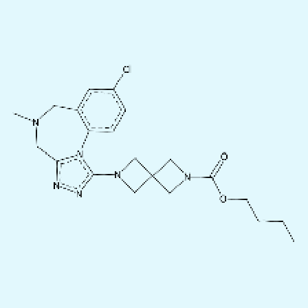 CCCCOC(=O)N1CC2(C1)CN(c1nnc3n1-c1ccc(Cl)cc1CN(C)C3)C2